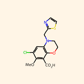 COc1c(Cl)cc2c(c1C(=O)O)OCCN2Cc1nccs1